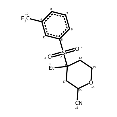 CCC1(S(=O)(=O)c2cccc(C(F)(F)F)c2)CCOC(C#N)C1